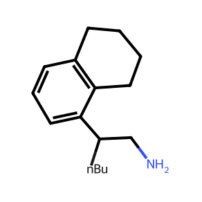 CCCCC(CN)c1cccc2c1CCCC2